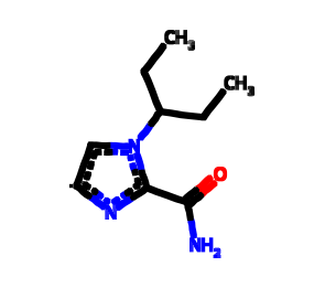 CCC(CC)n1c[c]nc1C(N)=O